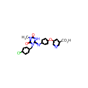 Cn1c(=O)[nH]/c(=N\c2ccc(Oc3cncc(C(=O)O)c3)cc2)n(Cc2ccc(Cl)cc2)c1=O